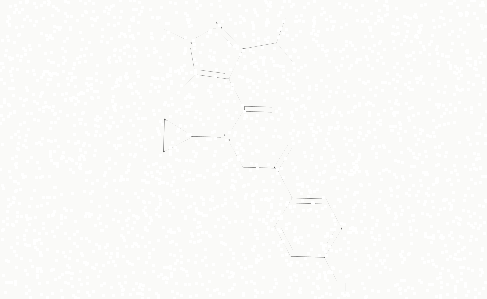 C=C(CN(C(=O)c1c(C(F)F)nn(C)c1F)C1CC1)c1ccc(Cl)cc1